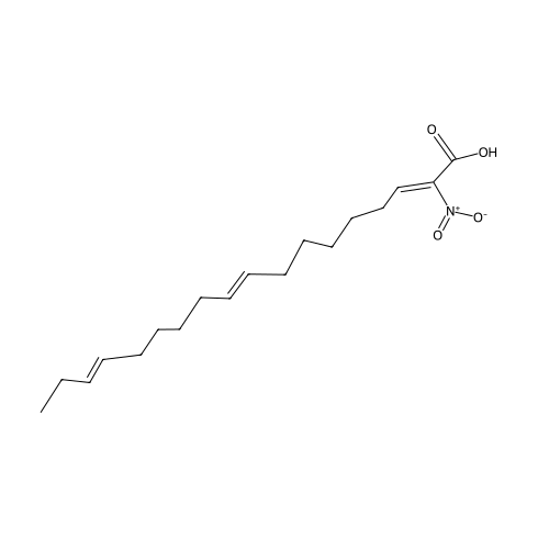 CCC=CCCCCC=CCCCCCC=C(C(=O)O)[N+](=O)[O-]